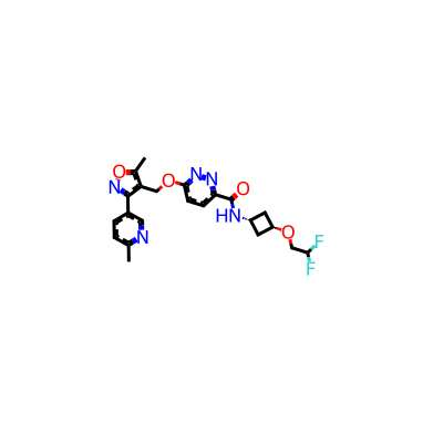 Cc1ccc(-c2noc(C)c2COc2ccc(C(=O)N[C@H]3C[C@H](OCC(F)F)C3)nn2)cn1